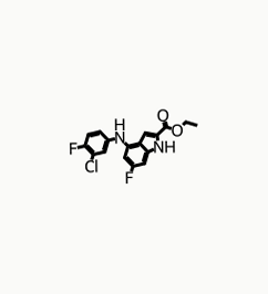 CCOC(=O)c1cc2c(Nc3ccc(F)c(Cl)c3)cc(F)cc2[nH]1